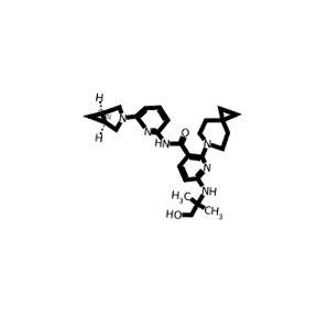 CC(C)(CO)Nc1ccc(C(=O)Nc2cccc(N3C[C@H]4C[C@H]4C3)n2)c(N2CCC3(CC2)CC3)n1